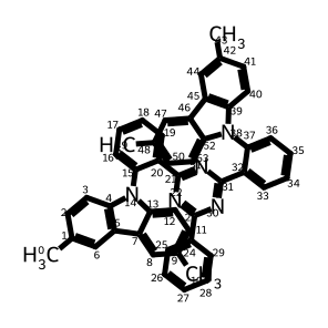 Cc1ccc2c(c1)c1cc(C)ccc1n2-c1ccccc1-c1nc(-c2ccccc2)nc(-c2ccccc2-n2c3ccc(C)cc3c3cc(C)ccc32)n1